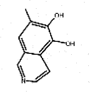 Cc1cc2cnccc2c(O)c1O